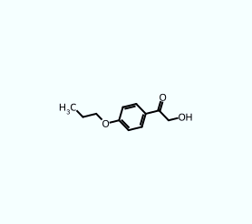 CCCOc1ccc(C(=O)CO)cc1